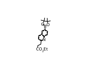 CCOC(=O)CCc1ccc2cc(B3OC(C)(C)C(C)(C)O3)ccc2n1